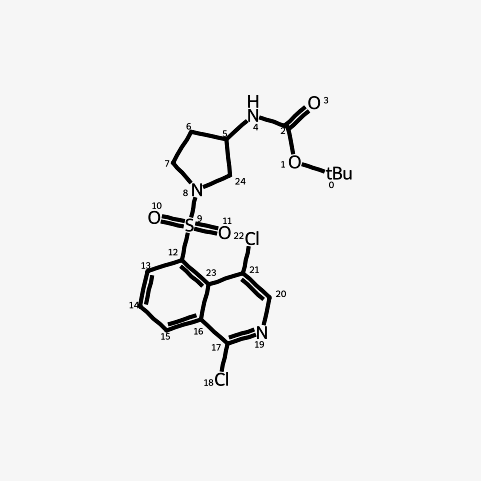 CC(C)(C)OC(=O)NC1CCN(S(=O)(=O)c2cccc3c(Cl)ncc(Cl)c23)C1